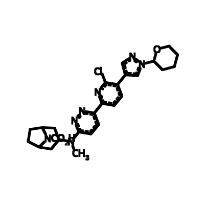 CN(c1ccc(-c2ccc(-c3cnn(C4CCCCO4)c3)c(Cl)n2)nn1)C1CC2CCC(C1)N2C(=O)O